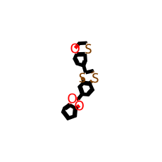 c1ccc2c(c1)OC(c1ccc3c(c1)SC(c1ccc4c(c1)SCCO4)CS3)O2